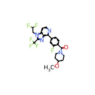 COC1CCN(C(=O)c2ccc(-c3nccc4c3nc(C(F)(F)F)n4CC(F)F)cc2F)CC1